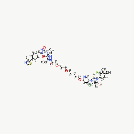 Cc1ncsc1-c1ccc(CNC(=O)C2CCCN2C(=O)C(NC(=O)COCCCOCCCCCOc2cc(Cl)c(N3C(=S)N(c4ccc(C#N)c(C(F)(F)F)c4F)C(=O)C3(C)C)cn2)C(C)(C)C)cc1